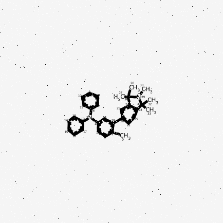 Cc1ccc(N(c2ccccc2)c2ccccc2)cc1-c1ccc2c(c1)C(C)(C)N(C)C2(C)C